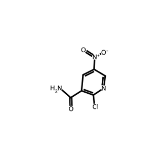 NC(=O)c1cc([N+](=O)[O-])cnc1Cl